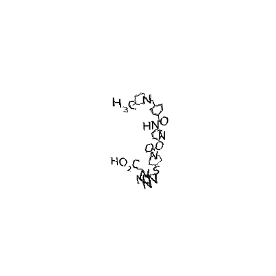 CC1CCCN(Cc2ccc(C(=O)Nc3ccc(OC(=O)N4CCC(Sc5nnnn5CCC(=O)O)CC4)nc3)cc2)C1